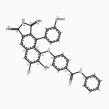 CCCCCc1cccc(-c2c3c(cc4cc(Cl)c(C(C)(C)C)c(Oc5ccc(C(=O)Oc6ccccc6)cc5)c24)C(=N)NC3=N)c1